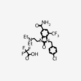 CCN(CC)CCn1c(=O)n(Cc2ccc(Cl)cc2)c2c(C(F)(F)F)cc(C(N)=O)cc21.O=C(O)C(F)(F)F